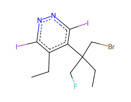 CCc1c(I)nnc(I)c1C(CC)(CF)CBr